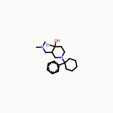 CCC1(O)CCN(C2(c3ccccc3)CCCCC2)CC1CN(C)C